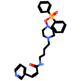 O=C(/C=C\c1cccnc1)NCCCCN1CCN(OP(=O)(c2ccccc2)c2ccccc2)CC1